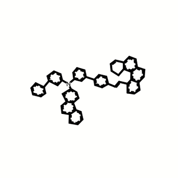 C1=Cc2ccc3ccc4cccc(C=Cc5ccc(-c6cccc(N(c7cccc(-c8ccccc8)c7)c7ccc8c(ccc9ccccc98)c7)c6)cc5)c4c3c2CC1